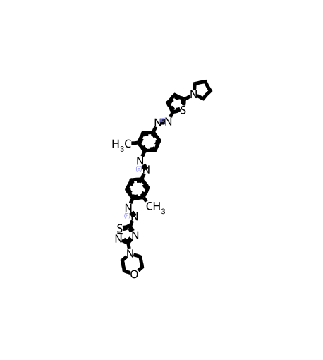 Cc1cc(/N=N/c2ccc(N3CCCC3)s2)ccc1/N=N/c1ccc(/N=N/c2nc(N3CCOCC3)ns2)c(C)c1